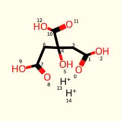 O=C(O)CC(O)(CC(=O)O)C(=O)O.[H+].[H+]